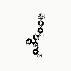 CC(C)(C)OC(=O)N1CCN(c2ccc(Nc3nccc(-c4cn(Cc5cccc(C#N)c5)nc4-c4cccnc4)n3)cc2)CC1